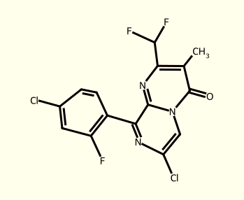 Cc1c(C(F)F)nc2c(-c3ccc(Cl)cc3F)nc(Cl)cn2c1=O